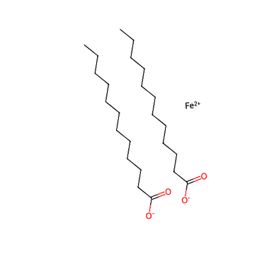 CCCCCCCCCCCC(=O)[O-].CCCCCCCCCCCC(=O)[O-].[Fe+2]